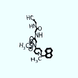 C#CCNC(=O)CNC(=O)CN(C1CCN([C@H](C)c2cccc3ccccc23)CC1)S(C)(=O)=O